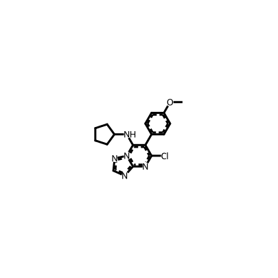 COc1ccc(-c2c(Cl)nc3ncnn3c2NC2CCCC2)cc1